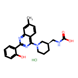 Cc1ccc2c(N3CCC[C@H](CNC(=O)O)C3)nc(-c3ccccc3O)nc2c1.Cl